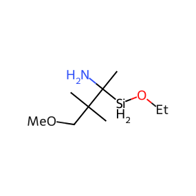 CCO[SiH2]C(C)(N)C(C)(C)COC